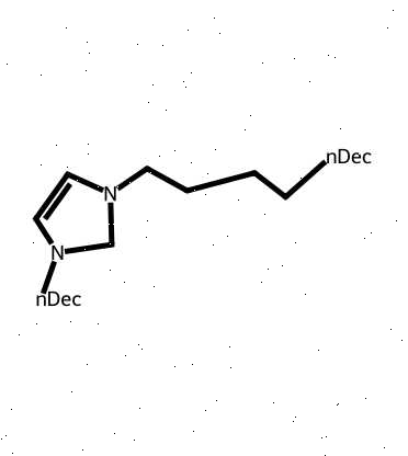 CCCCCCCCCCCCCCN1C=CN(CCCCCCCCCC)C1